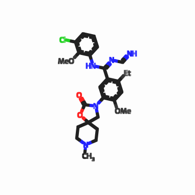 CCc1cc(OC)c(N2CC3(CCN(C)CC3)OC2=O)cc1/C(=N\C=N)Nc1cccc(Cl)c1OC